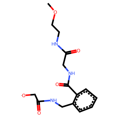 COCCNC(=O)CNC(=O)c1ccccc1CNC(=O)C[O]